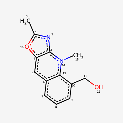 Cc1nc2c(cc3cccc(CO)c3[n+]2C)o1